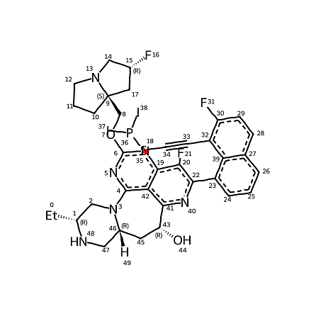 CC[C@@H]1CN2c3nc(OC[C@@]45CCCN4C[C@H](F)C5)nc4c(F)c(-c5cccc6ccc(F)c(C#CSP(I)I)c56)nc(c34)[C@H](O)C[C@@H]2CN1